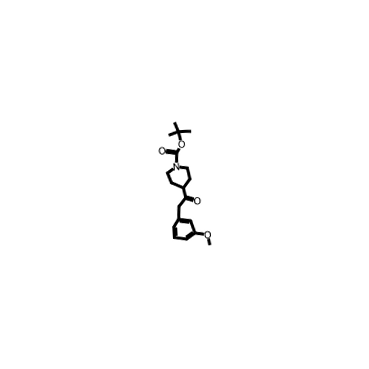 COc1cccc(CC(=O)C2CCN(C(=O)OC(C)(C)C)CC2)c1